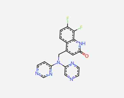 O=c1cc(CN(c2ccncn2)c2cnccn2)c2ccc(F)c(F)c2[nH]1